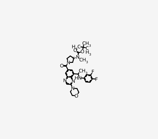 CC(Nc1ccc(F)c(F)c1)c1cc(C(=O)N2CC[C@H](N(C)C(=O)OC(C)(C)C)C2)cc2ncc(N3CCOCC3)nc12